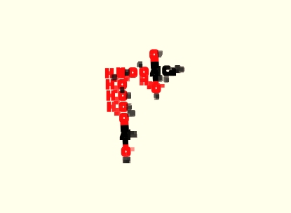 O.O.O.O.O.O.[Ca+2].[O]=[Al][O-].[O]=[Al][O-]